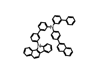 c1ccc(-c2cccc(N(c3ccc(-c4ccc5ccccc5c4)cc3)c3cccc(-c4cccc(-n5c6ccccc6c6ccc7ccccc7c65)c4)c3)c2)cc1